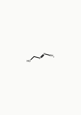 OCP=NP